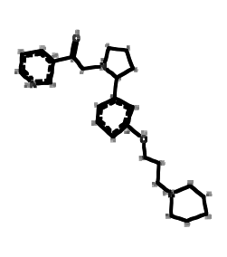 O=C(CN1CCCC1c1cccc(OCCCN2CCCCC2)c1)c1cccnc1